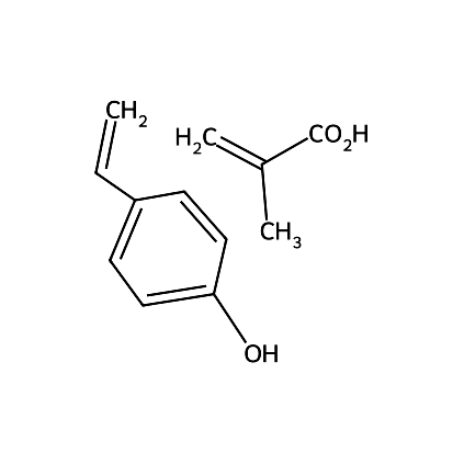 C=C(C)C(=O)O.C=Cc1ccc(O)cc1